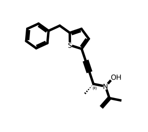 C=C(C)N(O)[C@H](C)C#Cc1ccc(Cc2ccccc2)s1